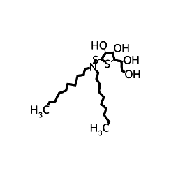 CCCCCCCCCCN(CCCCCCCCCC)S[C@@H]1S[C@@H]([C@H](O)CO)[C@H](O)[C@H]1O